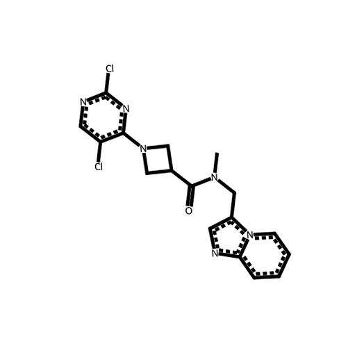 CN(Cc1cnc2ccccn12)C(=O)C1CN(c2nc(Cl)ncc2Cl)C1